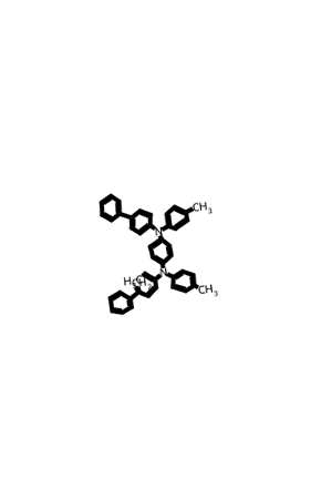 C=C(/C=C\C(=C/C)N(c1ccc(C)cc1)c1ccc(N(c2ccc(C)cc2)c2ccc(-c3ccccc3)cc2)cc1)c1ccccc1